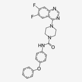 O=C(Nc1ccc(Oc2ccccc2)cc1)N1CCN(c2ncnc3cc(F)c(F)cc23)CC1